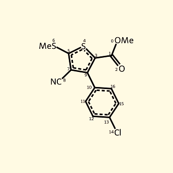 COC(=O)c1sc(SC)c(C#N)c1-c1ccc(Cl)cc1